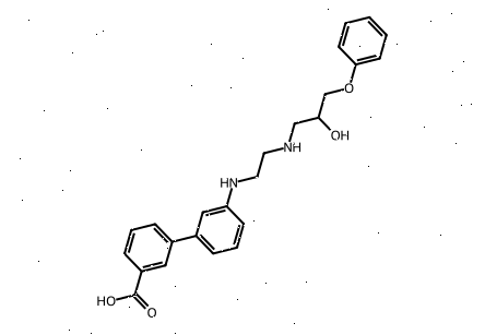 O=C(O)c1cccc(-c2cccc(NCCNCC(O)COc3ccccc3)c2)c1